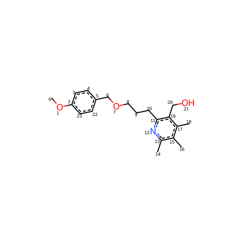 COc1ccc(COCCCc2nc(C)c(C)c(C)c2CO)cc1